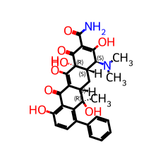 CN(C)[C@@H]1C(O)=C(C(N)=O)C(=O)[C@]2(O)C(O)=C3C(=O)c4c(O)ccc(-c5ccccc5)c4[C@](C)(O)[C@H]3C[C@@H]12